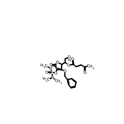 CC(=O)CCC(=O)OC(CO)C1OC(=O)C(OP(=O)(N(C)C)N(C)C)=C1OCc1ccccc1